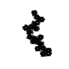 CC1(C)c2cc(N(c3ccccc3)c3ccc(-c4ccccc4)cc3)ccc2-c2c1c1ccc(N(c3ccccc3)c3ccc(-c4cccc(-c5ccc(N(c6ccccc6)c6ccc7c(c6)C(C)(C)c6c-7c7ccccc7c7cc(N(c8ccccc8)c8cccc9ccccc89)ccc67)c6ccccc56)c4)cc3)cc1c1ccccc21